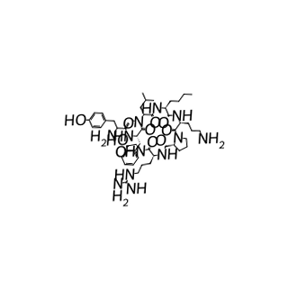 CCCC[C@H](NC(=O)[C@H](CC(C)C)N(C)C(=O)[C@H](Cc1ccccc1)NC(=O)[C@@H](N)Cc1ccc(O)cc1)C(=O)N[C@@H](CCCN)C(=O)N1CCC[C@H]1C(=O)N[C@@H](CCCNC(=N)N)C(=O)NCC(=O)O